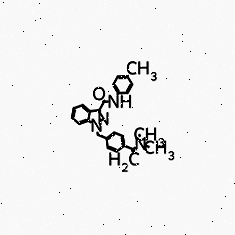 C=C(c1ccc(Cn2nc(C(=O)Nc3ccc(C)cc3)c3ccccc32)cc1)N(C)C